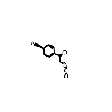 N#Cc1ccc(C(=O)CN=C=O)cc1